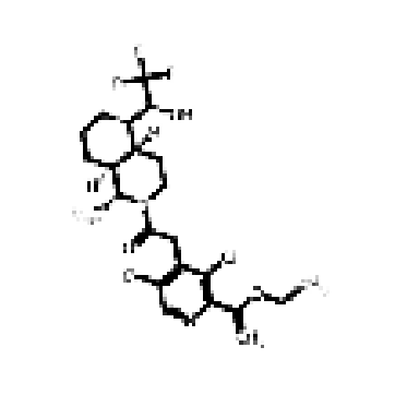 C=C(OCC)c1ncc(Cl)c(CC(=O)N2CC[C@H]3[C@H]([C@H](O)C(F)(F)F)CCC[C@@H]3[C@@H]2C)c1Cl